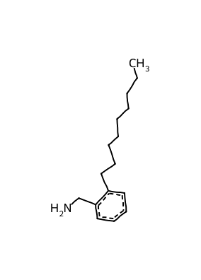 CCCCCCCCCc1ccccc1CN